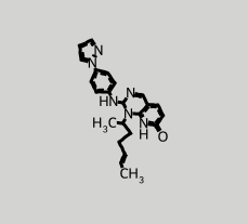 CC=CCCC(C)N1c2[nH]c(=O)ccc2C=NC1Nc1ccc(-n2cccn2)cc1